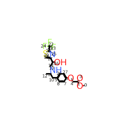 COC(=O)COc1ccc(CC(C)NCC(O)c2csc(C(F)(F)F)n2)cc1